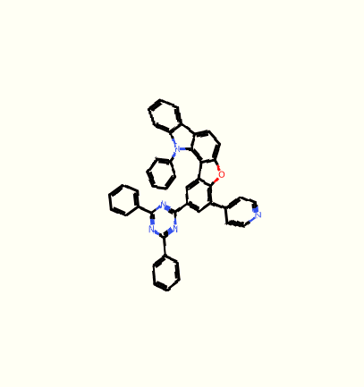 c1ccc(-c2nc(-c3ccccc3)nc(-c3cc(-c4ccncc4)c4oc5ccc6c7ccccc7n(-c7ccccc7)c6c5c4c3)n2)cc1